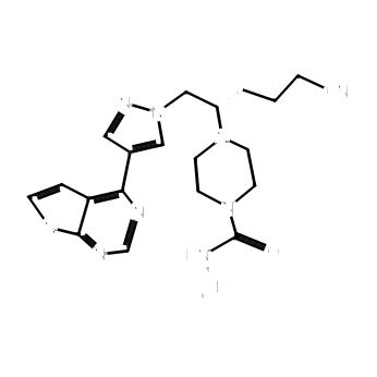 CC[C@@H](C)NC(=O)N1CCN([C@@H](CCCC#N)Cn2cc(-c3ncnc4[nH]ccc34)cn2)CC1